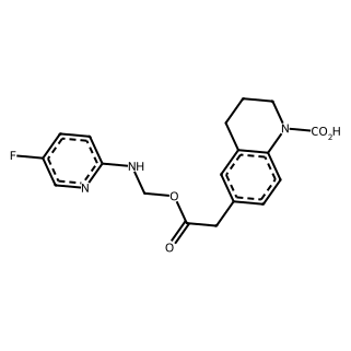 O=C(Cc1ccc2c(c1)CCCN2C(=O)O)OCNc1ccc(F)cn1